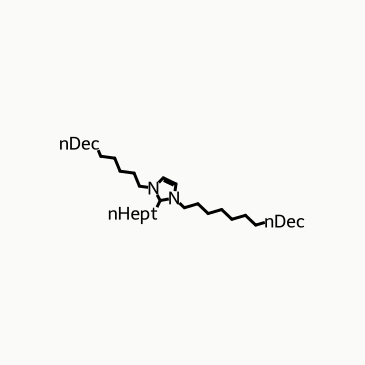 CCCCCCCCCCCCCCCCCN1C=CN(CCCCCCCCCCCCCCC)C1CCCCCCC